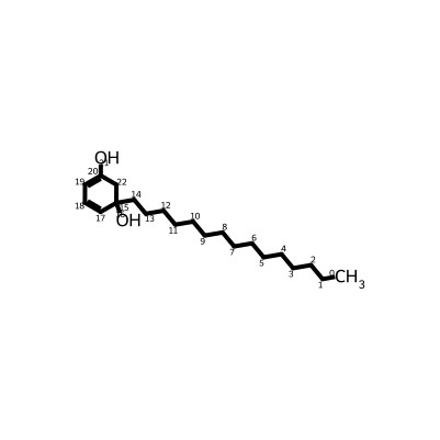 CCCCCCCCCCCCCCCC1(O)C=CC=C(O)C1